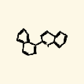 c1ccc2nc(-c3cccc4ccccc34)ccc2c1